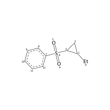 CCC1CC1S(=O)(=O)c1ccccc1